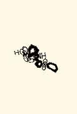 O=C(Nc1ccccc1OP(=O)(O)O)c1cccc(S(=O)(=O)C2CCCCC2)c1